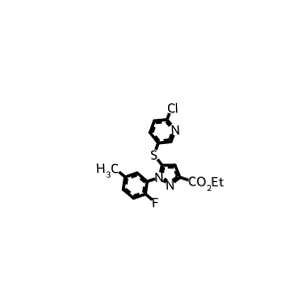 CCOC(=O)c1cc(Sc2ccc(Cl)nc2)n(-c2cc(C)ccc2F)n1